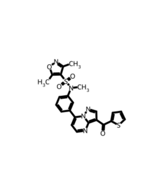 Cc1noc(C)c1S(=O)(=O)N(C)c1cccc(-c2ccnc3c(C(=O)c4cccs4)cnn23)c1